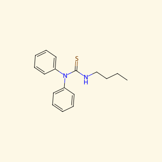 CCCCNC(=S)N(c1ccccc1)c1ccccc1